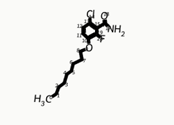 CCCCCCCCCOc1ccc(Cl)c(C(N)=O)c1F